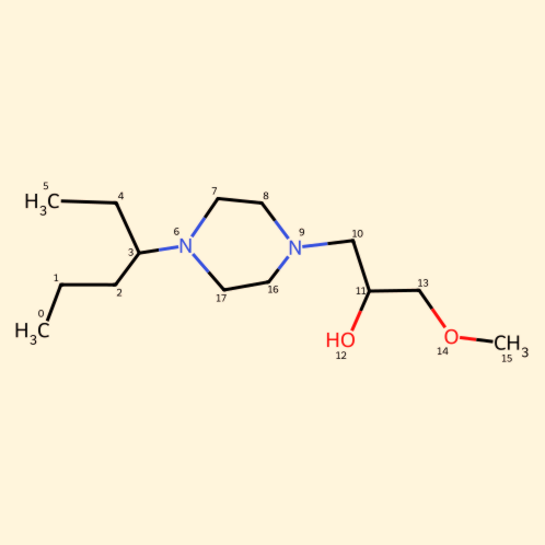 CCCC(CC)N1CCN(CC(O)COC)CC1